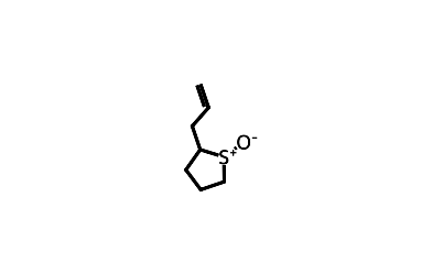 C=CCC1CCC[S+]1[O-]